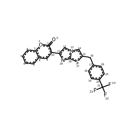 O=c1oc2ccccc2cc1-c1cn2cc(Cc3ccc(C(F)(F)F)cc3)sc2n1